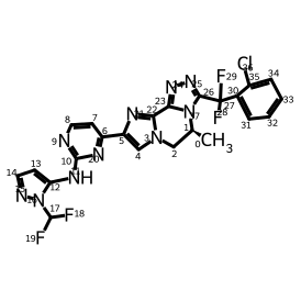 C[C@H]1Cn2cc(-c3ccnc(Nc4ccnn4C(F)F)n3)nc2-c2nnc(C(F)(F)c3ccccc3Cl)n21